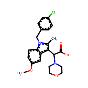 COc1ccc2c(c1)c(C(C(=O)O)N1CCOCC1)c(C)n2Cc1ccc(Cl)cc1